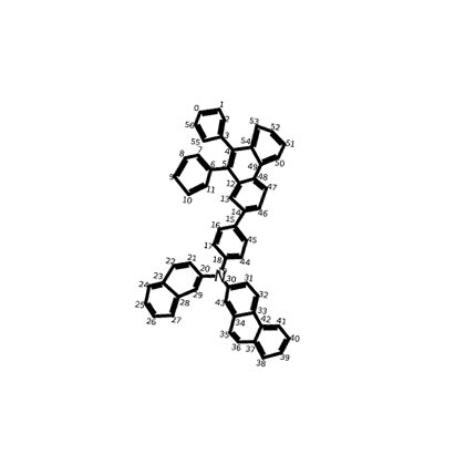 c1ccc(-c2c(-c3ccccc3)c3cc(-c4ccc(N(c5ccc6ccccc6c5)c5ccc6c(ccc7ccccc76)c5)cc4)ccc3c3ccccc23)cc1